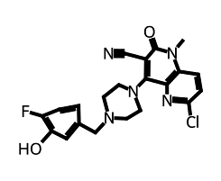 Cn1c(=O)c(C#N)c(N2CCN(Cc3ccc(F)c(O)c3)CC2)c2nc(Cl)ccc21